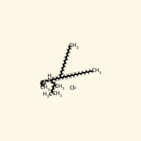 CCCCCCCCCCCCCCCCCCC(CCCCCCCCCCCCCCCCCC)CCCCC(CCC(C)CCCC(C)C)NCC[n+]1ccn(C)c1.[Cl-]